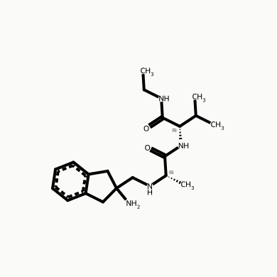 CCNC(=O)[C@@H](NC(=O)[C@H](C)NCC1(N)Cc2ccccc2C1)C(C)C